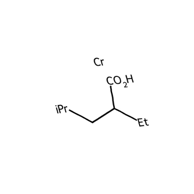 CCC(CC(C)C)C(=O)O.[Cr]